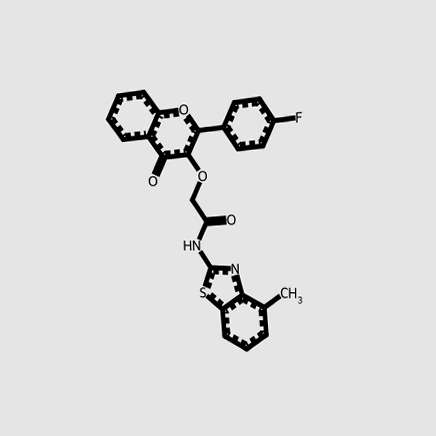 Cc1cccc2sc(NC(=O)COc3c(-c4ccc(F)cc4)oc4ccccc4c3=O)nc12